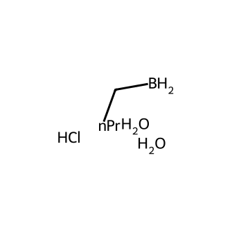 BCCCC.Cl.O.O